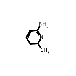 CC1CC=CC(N)=N1